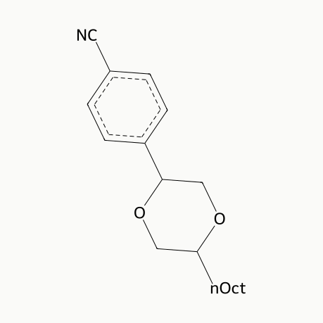 CCCCCCCCC1COC(c2ccc(C#N)cc2)CO1